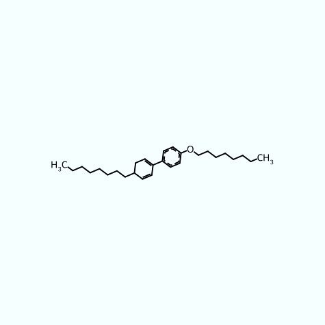 CCCCCCCCOc1ccc(C2=CCC(CCCCCCCC)C=C2)cc1